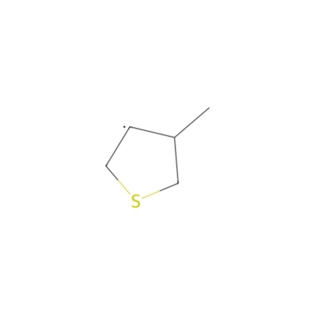 CC1[CH]CSC1